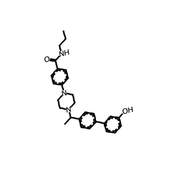 CCCNC(=O)c1ccc(N2CCN(C(C)c3ccc(-c4cccc(O)c4)cc3)CC2)cc1